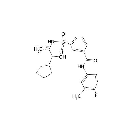 Cc1cc(NC(=O)c2cccc(S(=O)(=O)N[C@@H](C)C(O)C3CCCC3)c2)ccc1F